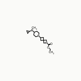 CCOC(=O)N1CC2(CC(N3CCC(N(C)C4CC4)CC3)C2)C1